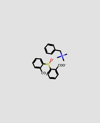 C[N+](C)(C)Cc1ccccc1.O=C([O-])c1ccccc1[S+]([O-])c1ccccc1C(=O)O